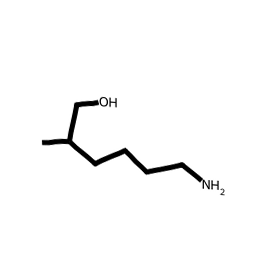 CC(CO)CCCCN